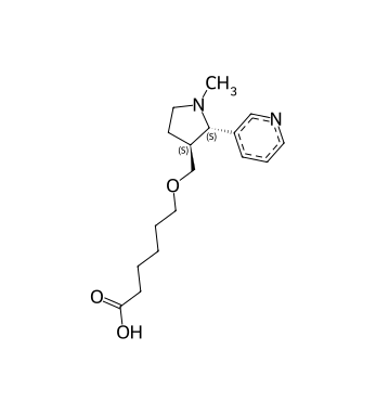 CN1CC[C@H](COCCCCCC(=O)O)[C@H]1c1cccnc1